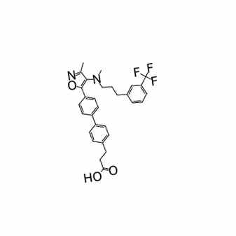 Cc1noc(-c2ccc(-c3ccc(CCC(=O)O)cc3)cc2)c1N(C)CCCc1cccc(C(F)(F)F)c1